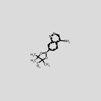 CC1(C)OB(c2ccc3c(N)cnnc3c2)OC1(C)C